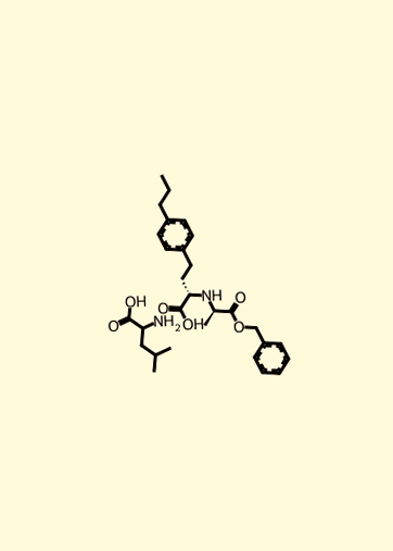 CC(C)CC(N)C(=O)O.CCCc1ccc(CC[C@H](N[C@H](C)C(=O)OCc2ccccc2)C(=O)O)cc1